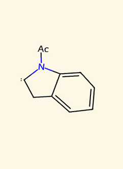 CC(=O)N1[C]Cc2ccccc21